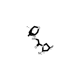 CC1(C)[C@@]2(C)CC[C@]1(NCC(=O)N1C[C@@H](F)C[C@H]1C#N)COC2